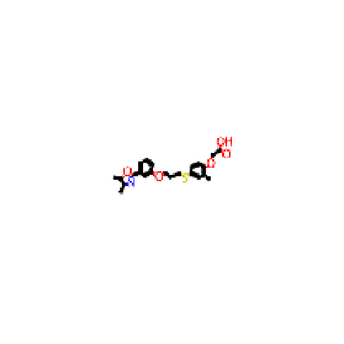 Cc1cc(SCCCOc2cccc(C3=NC(C)C(C)O3)c2)ccc1OCC(=O)O